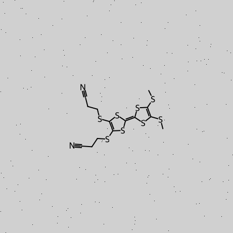 CSC1=C(SC)SC(=C2SC(SCCC#N)=C(SCCC#N)S2)S1